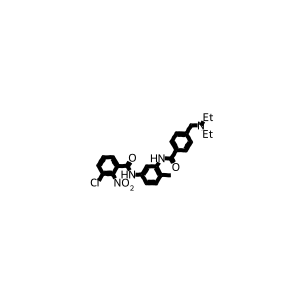 CCN(CC)Cc1ccc(C(=O)Nc2cc(NC(=O)c3cccc(Cl)c3[N+](=O)[O-])ccc2C)cc1